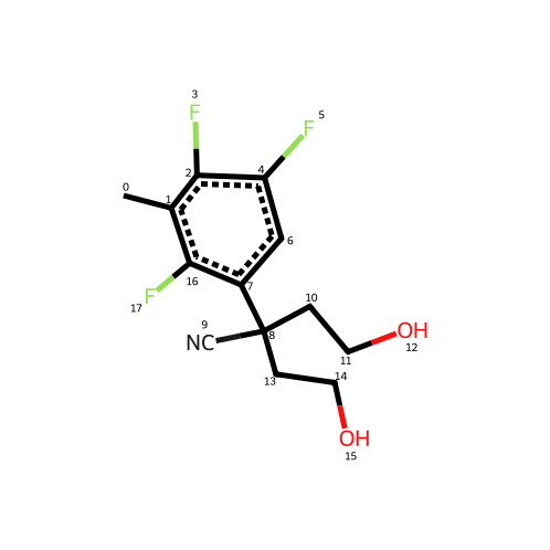 Cc1c(F)c(F)cc(C(C#N)(CCO)CCO)c1F